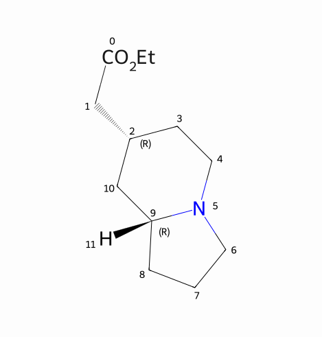 CCOC(=O)C[C@@H]1CCN2CCC[C@@H]2C1